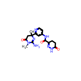 CN1C(=O)CC(C)(c2cc(NC(=O)C3=NNC(=O)CC3)ccn2)N=C1N